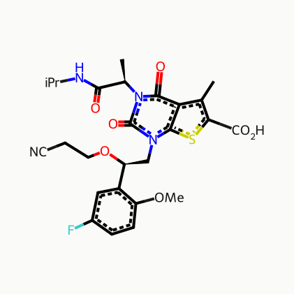 COc1ccc(F)cc1[C@H](Cn1c(=O)n([C@H](C)C(=O)NC(C)C)c(=O)c2c(C)c(C(=O)O)sc21)OCCC#N